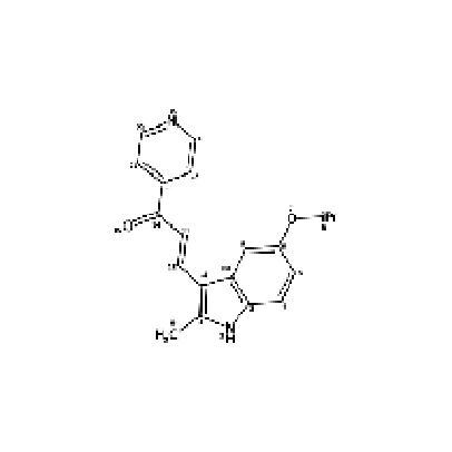 Cc1[nH]c2ccc(OC(C)C)cc2c1C=CC(=O)c1ccncc1